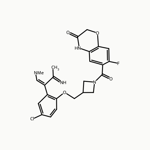 CN/C=C(\C(C)=N)c1cc(Cl)ccc1OCC1CN(C(=O)c2cc3c(cc2F)OCC(=O)N3)C1